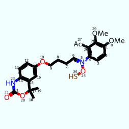 COc1ccc([N+](=CCCCOc2ccc3c(c2)C(C)(C)OC(=O)N3)OS)c(C(C)=O)c1OC